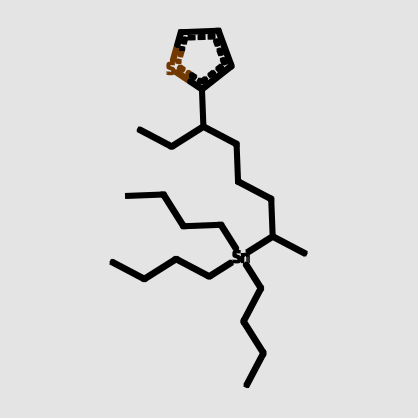 CCC[CH2][Sn]([CH2]CCC)([CH2]CCC)[CH](C)CCCC(CC)c1cccs1